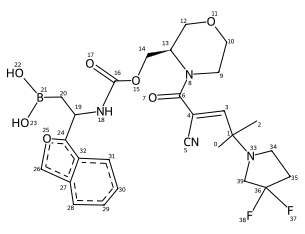 CC(C)(C=C(C#N)C(=O)N1CCOC[C@@H]1COC(=O)NC(CB(O)O)c1occ2ccccc12)N1CCC(F)(F)C1